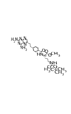 COC(=O)[C@H](CCCNC(=O)OC(C)(C)C)NC(=O)c1ccc(CCc2cnc3nc(N)nc(N)c3n2)cc1